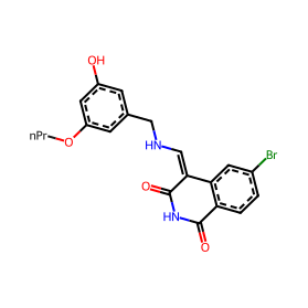 CCCOc1cc(O)cc(CNC=C2C(=O)NC(=O)c3ccc(Br)cc32)c1